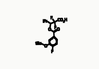 CC(C)C(OC(=O)c1ccc(F)c(OC(C)(C)C)c1)C(F)(F)C(=O)O